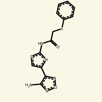 Nc1nonc1-c1csc(NC(=O)CSc2ccccc2)n1